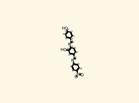 O=[N+]([O-])c1ccc(/N=N/c2ccc(/N=N/c3ccc(O)cc3)c(O)c2)cc1